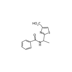 CC(NC(=O)c1ccccc1)c1nc(C(=O)O)cs1